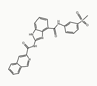 CS(=O)(=O)c1cccc(NC(=O)c2cccc3[nH]c(NC(=O)c4cc5ccccc5cn4)nc23)c1